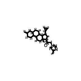 Cc1nnn(CC(=O)C2CC(C3CC3)C3C4CCC5CC(C)CCC5C4CCC23C)n1